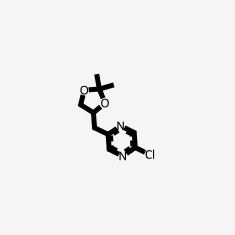 CC1(C)OCC(Cc2cnc(Cl)cn2)O1